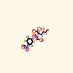 CCCCC(C(=O)O)N(C=O)Oc1ccc([N+](=O)[O-])cc1